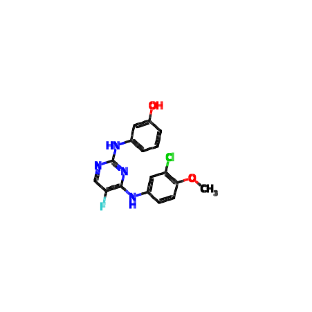 COc1ccc(Nc2nc(Nc3cccc(O)c3)ncc2F)cc1Cl